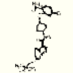 CC(C)(O)COc1ccc2c(C(=O)NC3CCC(Oc4cc(Cl)ccc4C(N)=O)CC3)cnn2c1